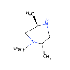 CCCCCN1C[C@@H](C)NC[C@@H]1C